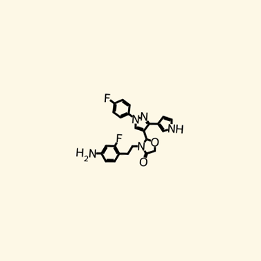 Nc1ccc(CCN2C(=O)COC2c2cn(-c3ccc(F)cc3)nc2-c2cc[nH]c2)c(F)c1